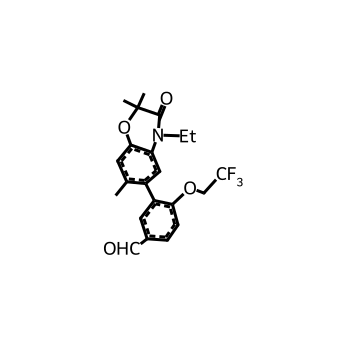 CCN1C(=O)C(C)(C)Oc2cc(C)c(-c3cc(C=O)ccc3OCC(F)(F)F)cc21